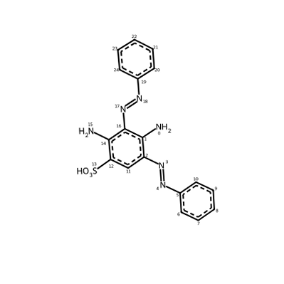 Nc1c(N=Nc2ccccc2)cc(S(=O)(=O)O)c(N)c1N=Nc1ccccc1